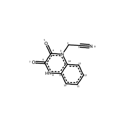 N#CCn1c(=O)c(=O)[nH]c2ccccc21